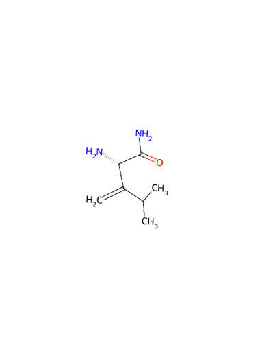 C=C(C(C)C)[C@H](N)C(N)=O